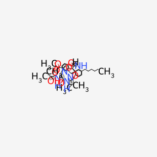 CCCCCCc1cccc2c1N[C@H]1Oc3ccc4cc3C21c1oc(nc1-c1nc(C(=O)OC)co1)[C@H](C(C)C)NC(=O)[C@@H](NC(=O)[C@@H](O)C(C)C)C4